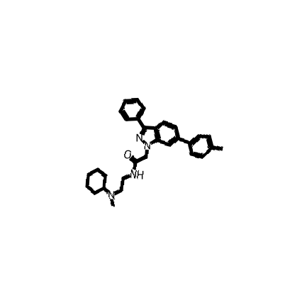 Cc1ccc(-c2ccc3c(-c4ccccc4)nn(CC(=O)NCCN(C)C4CCCCC4)c3c2)cc1